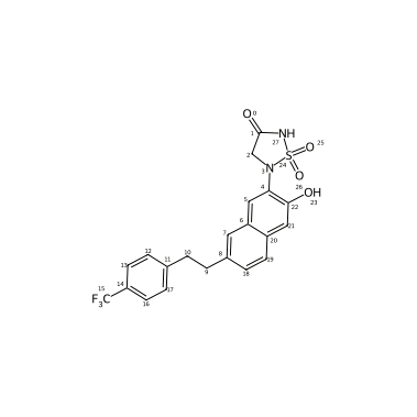 O=C1CN(c2cc3cc(CCc4ccc(C(F)(F)F)cc4)ccc3cc2O)S(=O)(=O)N1